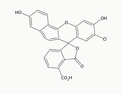 O=C(O)c1cccc2c1C(=O)OC21c2cc(Cl)c(O)cc2Oc2c1ccc1cc(O)ccc21